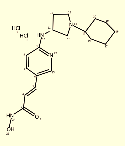 Cl.Cl.O=C(/C=C/c1ccc(N[C@@H]2CCN(C3CCCCC3)C2)nc1)NO